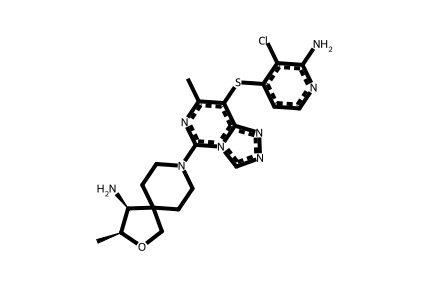 Cc1nc(N2CCC3(CC2)CO[C@@H](C)[C@H]3N)n2cnnc2c1Sc1ccnc(N)c1Cl